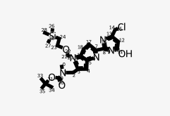 CN(Cc1cc2nc(-c3nc(O)cc(CCl)n3)ccc2n1COCC[Si](C)(C)C)C(=O)OC(C)(C)C